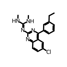 CCc1cccc(-c2nc(N=C(NC)NC)nc3ccc(Cl)cc23)c1